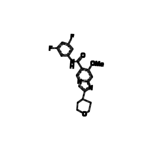 COc1cc2nc(C3CCOCC3)cn2cc1C(=O)Nc1cc(F)cc(F)c1